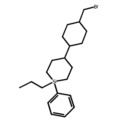 CCC[Si]1(c2ccccc2)CCC(C2CCC(CBr)CC2)CC1